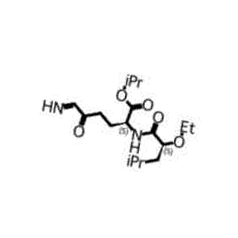 CCO[C@@H](CC(C)C)C(=O)N[C@@H](CCC(=O)C=N)C(=O)OC(C)C